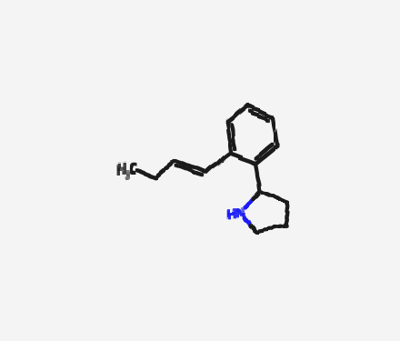 CCC=Cc1ccccc1C1CCCN1